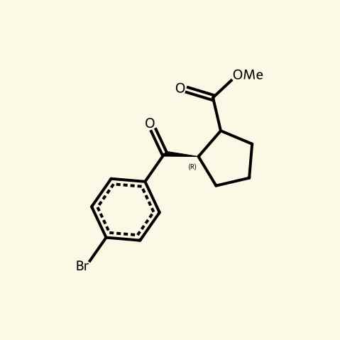 COC(=O)C1CCC[C@H]1C(=O)c1ccc(Br)cc1